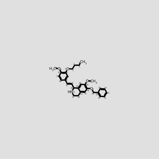 CCCCOc1cc(/C=C/C2NCCc3cc(OCc4ccccc4)c(OC)cc32)ccc1OC